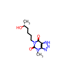 C[C@@H](O)CCCCn1c(=O)c2[nH]nnc2n(C)c1=O